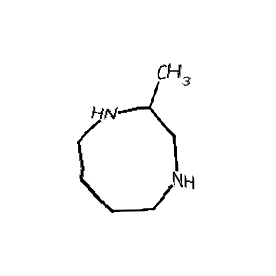 CC1CNCCCCN1